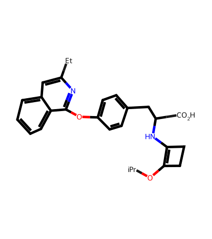 CCc1cc2ccccc2c(Oc2ccc(CC(NC3=C(OC(C)C)CC3)C(=O)O)cc2)n1